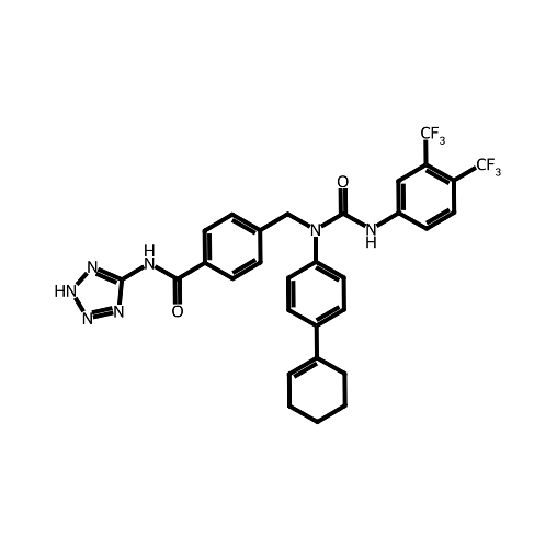 O=C(Nc1nn[nH]n1)c1ccc(CN(C(=O)Nc2ccc(C(F)(F)F)c(C(F)(F)F)c2)c2ccc(C3=CCCCC3)cc2)cc1